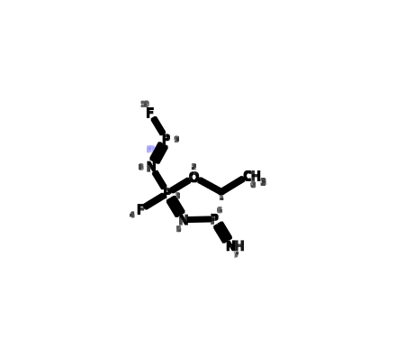 CCOP(F)(=NP=N)/N=P/F